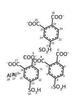 O=C([O-])c1ccc(S(=O)(=O)O)cc1C(=O)[O-].O=C([O-])c1ccc(S(=O)(=O)O)cc1C(=O)[O-].O=C([O-])c1ccc(S(=O)(=O)O)cc1C(=O)[O-].[Al+3].[Al+3]